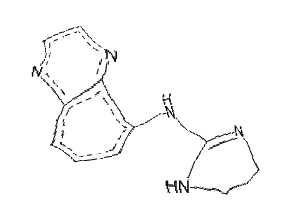 c1cc(NC2=NCCN2)c2nccnc2c1